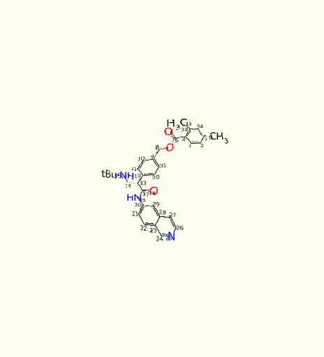 Cc1ccc(C(=O)OCc2ccc([C@@H](CNC(C)(C)C)C(=O)Nc3ccc4cnccc4c3)cc2)c(C)c1